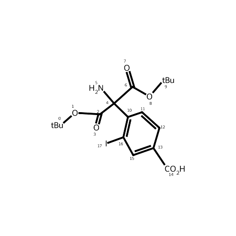 CC(C)(C)OC(=O)C(N)(C(=O)OC(C)(C)C)c1ccc(C(=O)O)cc1I